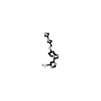 Nc1cc(-c2cnc3cc(OCC4CN(C5COC5)C4)ccn23)ncn1